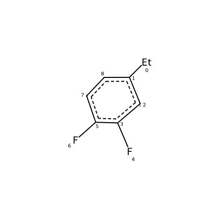 CCc1[c]c(F)c(F)cc1